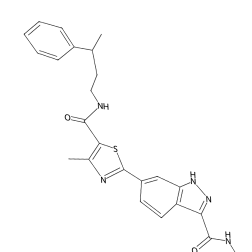 CNC(=O)c1n[nH]c2cc(-c3nc(C)c(C(=O)NCCC(C)c4ccccc4)s3)ccc12